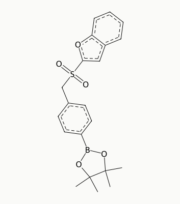 CC1(C)OB(c2ccc(CS(=O)(=O)c3cc4ccccc4o3)cc2)OC1(C)C